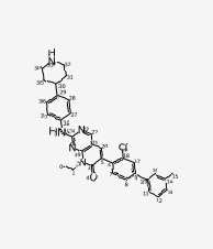 CCn1c(=O)c(-c2ccc(-c3cccc(C)c3)cc2Cl)cc2cnc(Nc3ccc(C4CCNCC4)cc3)nc21